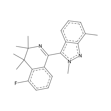 Cc1cccc2c(C3=NC(C)(C)C(C)(C)c4c(F)cccc43)n(C)nc12